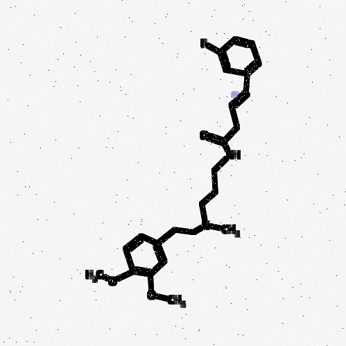 COc1ccc(CCN(C)CCCNC(=O)C/C=C/c2cccc(F)c2)cc1OC